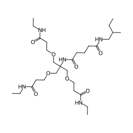 CCNC(=O)CCOCC(COCCC(=O)NCC)(COCCC(=O)NCC)NC(=O)CCCC(=O)NCC(C)CC